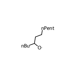 CCCCCCCC([O])CCCC